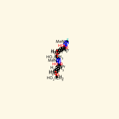 CNCCn1c(-c2ncc(F)cn2)nnc1[C@@H](O)[C@@]12CC[C@]3(C)[C@H](CC[C@@H]4[C@@]5(C)CC[C@H](OC(=O)CC(C)(Cc6nc(-c7nnc([C@H](O)[C@@]89CC[C@]%10(C)[C@H](CC[C@@H]%11[C@@]%12(C)CC[C@H](OC(=O)CC(C)(C)C(=O)O)C(C)(C)[C@@H]%12CC[C@]%11%10C)C8=C(C(C)C)C(=O)C9)n7CCNC)ncc6F)C(=O)O)C(C)(C)[C@@H]5CC[C@]43C)C1=C(C(C)C)C(=O)C2